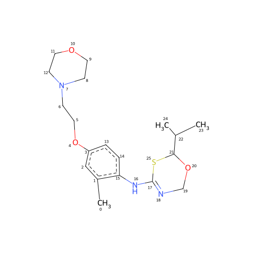 Cc1cc(OCCN2CCOCC2)ccc1NC1=NCOC(C(C)C)S1